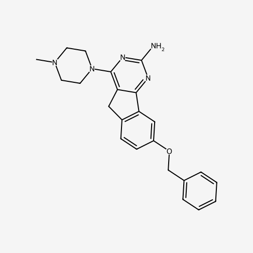 CN1CCN(c2nc(N)nc3c2Cc2ccc(OCc4ccccc4)cc2-3)CC1